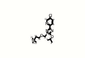 CC(C)Oc1nc(-c2ccc(Cl)cn2)nn1COCC[Si](C)(C)C